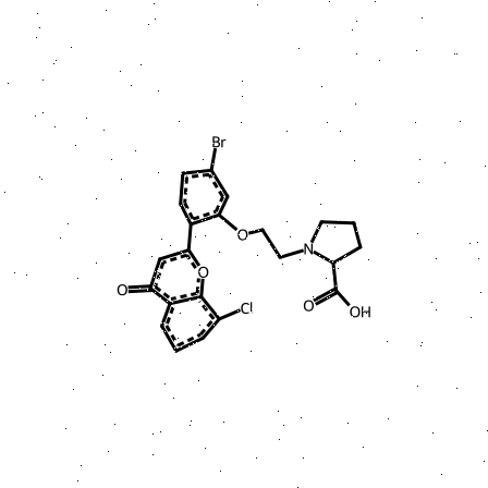 O=C(O)C1CCCN1CCOc1cc(Br)ccc1-c1cc(=O)c2cccc(Cl)c2o1